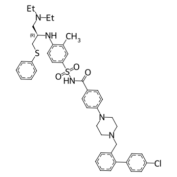 CCN(CC)C[C@H](CSc1ccccc1)Nc1ccc(S(=O)(=O)NC(=O)c2ccc(N3CCN(Cc4ccccc4-c4ccc(Cl)cc4)CC3)cc2)cc1C